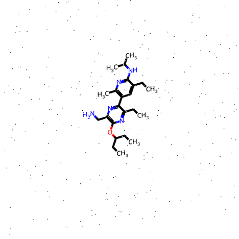 CCc1cc(-c2nc(CN)c(OC(CC)CC)nc2CC)c(C)nc1NC(C)C